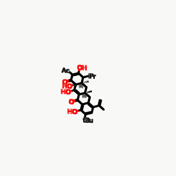 C=C(C)c1cc(C(C)(C)C)c(O)c2c1C[C@]1(C)C[C@]3(C)C(C(C)C)C(O)=C(C(C)=O)C(=O)[C@]3(O)C(O)=C1C2=O